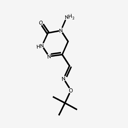 CC(C)(C)O/N=C/C1=NNC(=O)N(N)C1